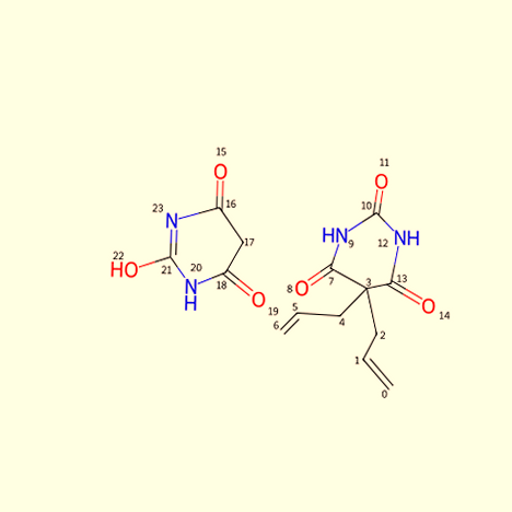 C=CCC1(CC=C)C(=O)NC(=O)NC1=O.O=C1CC(=O)NC(O)=N1